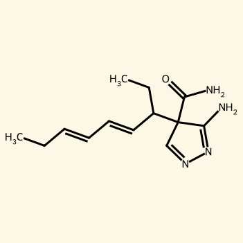 CCC=CC=CC(CC)C1(C(N)=O)C=NN=C1N